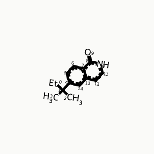 CCC(C)(C)c1ccc2c(=O)[nH]ccc2c1